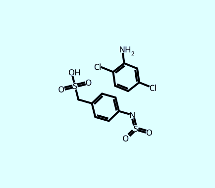 Nc1cc(Cl)ccc1Cl.O=S(=O)=Nc1ccc(CS(=O)(=O)O)cc1